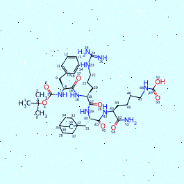 CC(C)(C)OC(=O)N[C@@H](Cc1ccccc1)C(=O)N[C@@H](CCCNC(=N)N)C(=O)N[C@@H](CC12CCC(CC1)CC2)C(=O)N[C@@H](CCCCNC(=O)O)C(N)=O